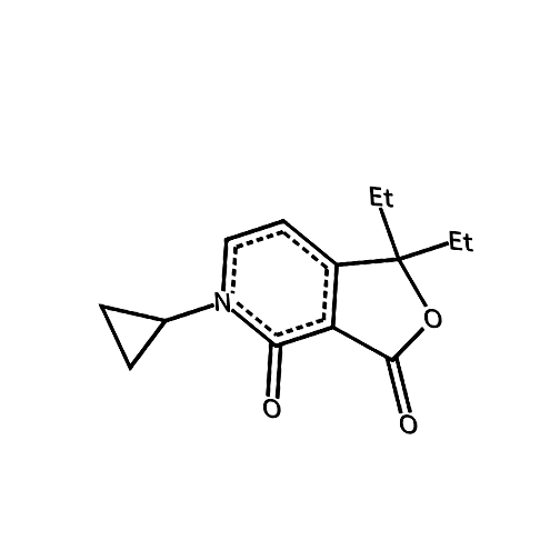 CCC1(CC)OC(=O)c2c1ccn(C1CC1)c2=O